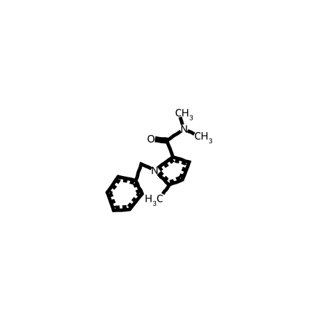 Cc1ccc(C(=O)N(C)C)n1Cc1ccccc1